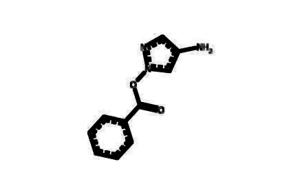 Nc1cnn(OC(=O)c2ccccc2)c1